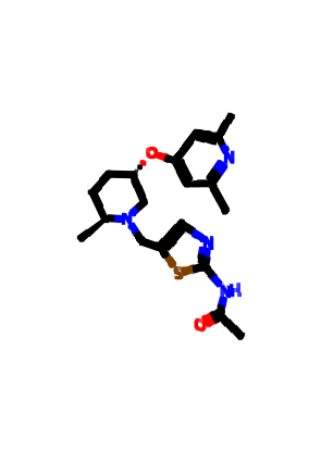 CC(=O)Nc1ncc(CN2C[C@@H](Oc3cc(C)nc(C)c3)CC[C@@H]2C)s1